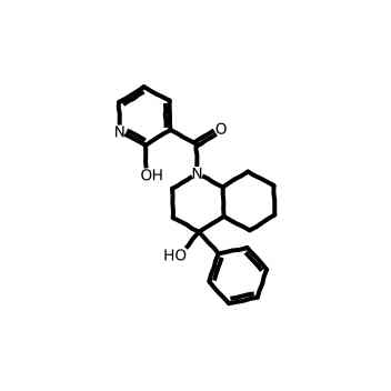 O=C(c1cccnc1O)N1CCC(O)(c2ccccc2)C2CCCCC21